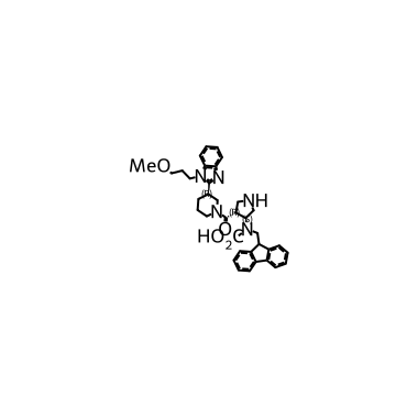 COCCCn1c([C@@H]2CCCN(C(=O)[C@@H]3CNC[C@H]3N(CC3c4ccccc4-c4ccccc43)C(=O)O)C2)nc2ccccc21